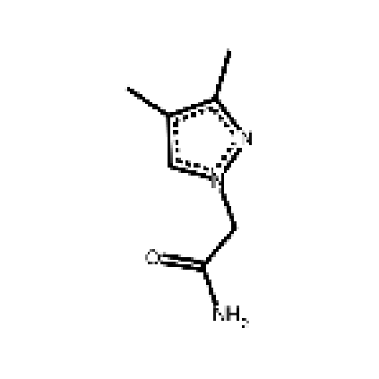 Cc1cn(CC(N)=O)nc1C